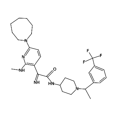 CNc1nc(N2CCCCCCC2)ccc1C(=N)C(=O)NC1CCN(C(C)c2cccc(C(F)(F)F)c2)CC1